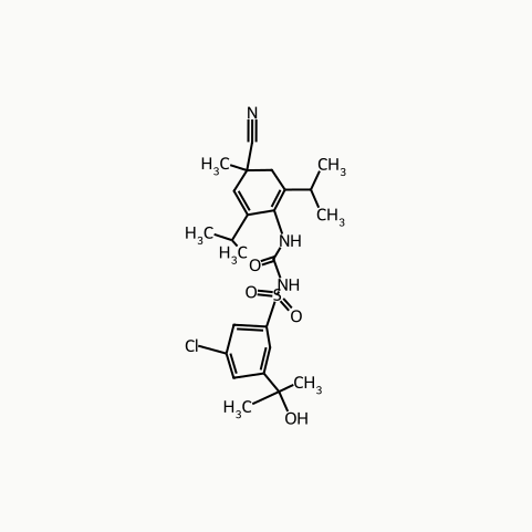 CC(C)C1=CC(C)(C#N)CC(C(C)C)=C1NC(=O)NS(=O)(=O)c1cc(Cl)cc(C(C)(C)O)c1